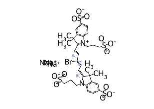 CC1(C)C(/C=C/C(Br)=C/C=C2/N(CCCS(=O)(=O)[O-])c3ccc(S(=O)(=O)[O-])cc3C2(C)C)=[N+](CCCS(=O)(=O)[O-])c2ccc(S(=O)(=O)[O-])cc21.[Na+].[Na+].[Na+]